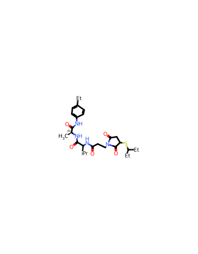 CCc1ccc(NC(=O)[C@H](C)NC(=O)C(NC(=O)CCN2C(=O)CC(SC(CC)CC)C2=O)C(C)C)cc1